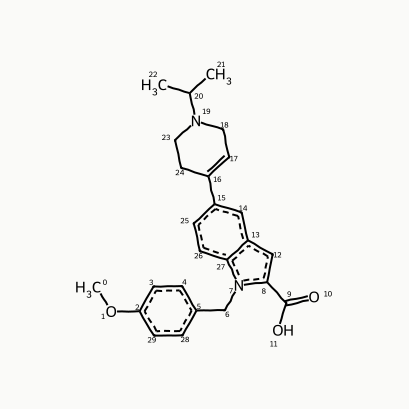 COc1ccc(Cn2c(C(=O)O)cc3cc(C4=CCN(C(C)C)CC4)ccc32)cc1